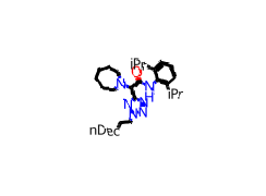 CCCCCCCCCCCCn1nnc(C(C(=O)Nc2c(C(C)C)cccc2C(C)C)N2CCCCCC2)n1